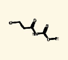 CCOC(=O)NC(=O)CCCl